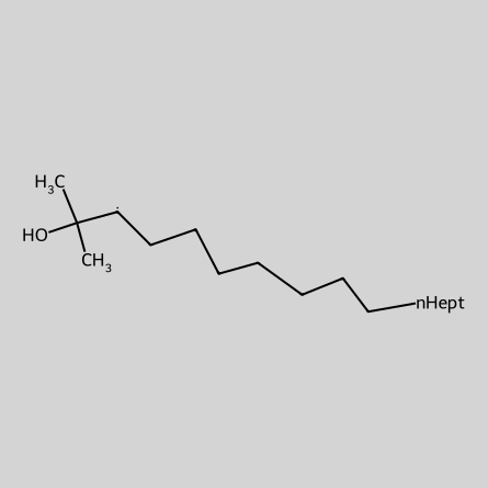 CCCCCCCCCCCCCC[CH]C(C)(C)O